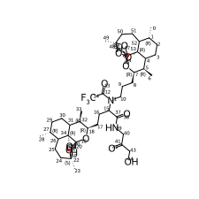 C[C@@H]1CCC2[C@@H](C)[C@@H](CCCN(C(=O)C(F)(F)F)C(CC[C@H]3O[C@@H]4O[C@]5(C)CCC6[C@H](C)CCC([C@H]3C)[C@]64OO5)C(=O)NCC(=O)CO)O[C@@H]3O[C@]4(C)CCC1[C@@]23OO4